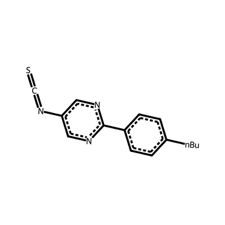 CCCCc1ccc(-c2ncc(N=C=S)cn2)cc1